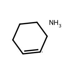 N.[C]1=CCCCC1